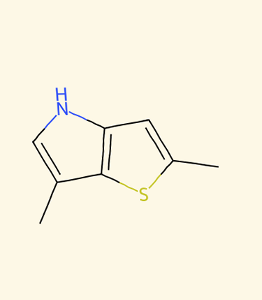 Cc1cc2[nH]cc(C)c2s1